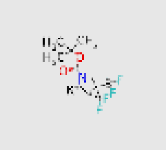 CC(C)(C)OC(=O)N1CC2C(F)(F)C2([B-](F)(F)F)C1.[K+]